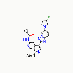 CNc1ncc(-c2nc3ccc(N4CCC(F)C4)cn3n2)c2cc(NC(=O)C3CC3)ncc12